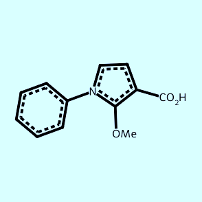 COc1c(C(=O)O)ccn1-c1ccccc1